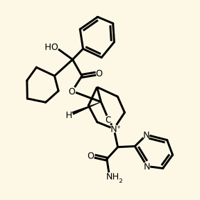 NC(=O)C(c1ncccn1)[N+]12CCC(CC1)[C@@H](OC(=O)C(O)(c1ccccc1)C1CCCCC1)C2